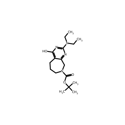 CCN(CC)c1nc(O)c2c(n1)CN(C(=O)OC(C)(C)C)CCC2